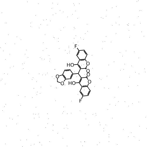 O=c1oc2ccc(F)cc2c(O)c1C(c1ccc2c(c1)OCO2)c1c(O)c2cc(F)ccc2oc1=O